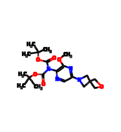 COc1nc(N2CC3(COC3)C2)cnc1N(C(=O)OC(C)(C)C)C(=O)OC(C)(C)C